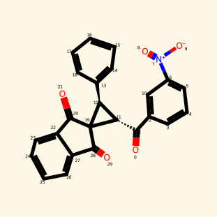 O=C(c1cccc([N+](=O)[O-])c1)[C@H]1[C@H](c2ccccc2)C12C(=O)c1ccccc1C2=O